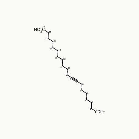 CCCCCCCCCCCCCCCCC#CCCCCCCCCCCC(=O)O